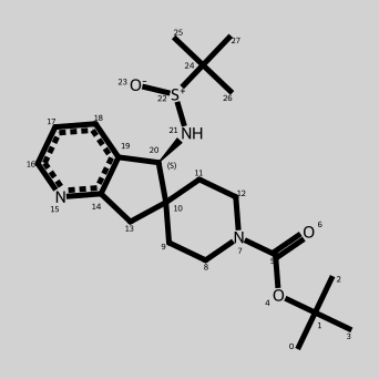 CC(C)(C)OC(=O)N1CCC2(CC1)Cc1ncccc1[C@H]2N[S+]([O-])C(C)(C)C